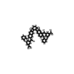 Cc1ccccc1N(c1ccc2cc3c(cc2c1)oc1ccc2oc4cc5cc(N(c6ccccc6C)c6ccc(C(C)C)cc6C(C)C)ccc5cc4c2c13)c1ccc(C(C)C)cc1C(C)C